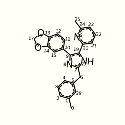 Cc1cccc(Cc2nc(-c3ccc4c(c3)OCO4)c(-c3cccc(C)n3)[nH]2)c1